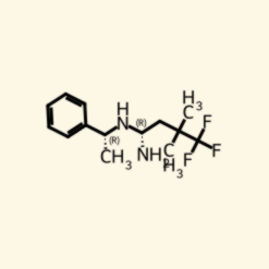 C[C@@H](N[C@@H](N)CC(C)(C)C(F)(F)F)c1ccccc1